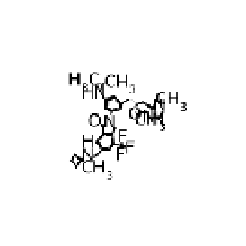 CO[C@H](Cc1cc(NC(C)C)cc(N2Cc3c(cc(CNC4(C)CCC4)cc3C(F)(F)F)C2=O)c1)Cc1nncn1C